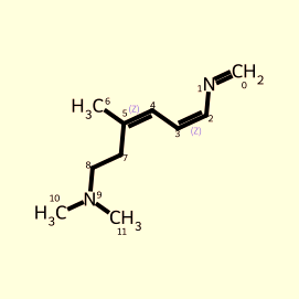 C=N/C=C\C=C(\C)CCN(C)C